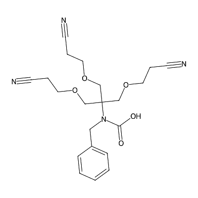 N#CCCOCC(COCCC#N)(COCCC#N)N(Cc1ccccc1)C(=O)O